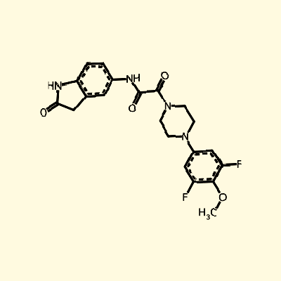 COc1c(F)cc(N2CCN(C(=O)C(=O)Nc3ccc4c(c3)CC(=O)N4)CC2)cc1F